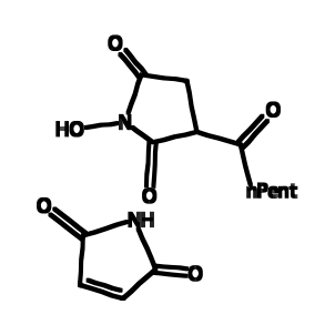 CCCCCC(=O)C1CC(=O)N(O)C1=O.O=C1C=CC(=O)N1